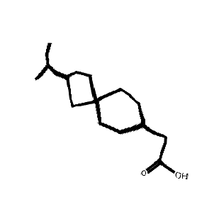 CC(C)C1CC2(CCC(CC(=O)O)CC2)C1